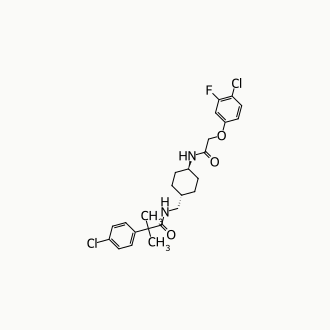 CC(C)(C(=O)NC[C@H]1CC[C@H](NC(=O)COc2ccc(Cl)c(F)c2)CC1)c1ccc(Cl)cc1